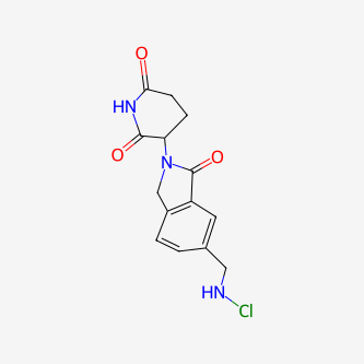 O=C1CCC(N2Cc3ccc(CNCl)cc3C2=O)C(=O)N1